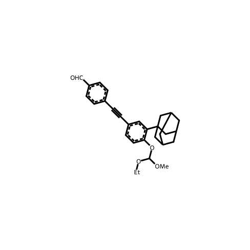 CCOC(OC)Oc1ccc(C#Cc2ccc(C=O)cc2)cc1C12CC3CC(CC(C3)C1)C2